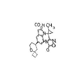 C[C@H]1C[C@]1(c1noc(=O)[nH]1)n1c(C(=O)O)cc2cc([C@@H]3CCOC4(CCC4)C3)ccc21